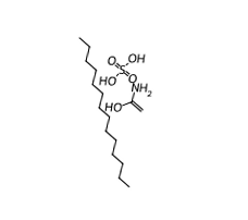 C=C(N)O.CCCCCCCCCCCCCC.O=S(=O)(O)O